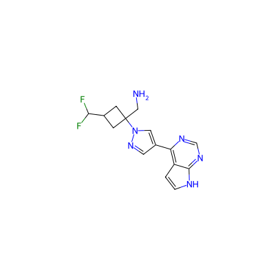 NCC1(n2cc(-c3ncnc4[nH]ccc34)cn2)CC(C(F)F)C1